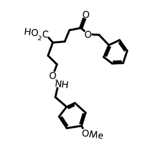 COc1ccc(CNOCCC(CCC(=O)OCc2ccccc2)C(=O)O)cc1